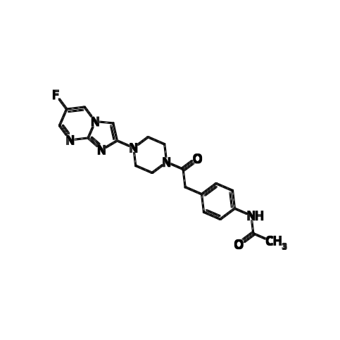 CC(=O)Nc1ccc(CC(=O)N2CCN(c3cn4cc(F)cnc4n3)CC2)cc1